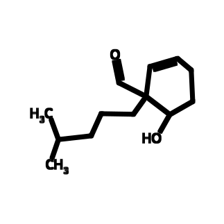 CC(C)CCCC1(C=O)C=CCCC1O